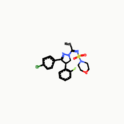 CSC(=NS(=O)(=O)N1CCOCC1)N1CC(c2ccccc2F)C(c2ccc(Cl)cc2)=N1